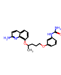 CC(CCCOc1cccc(NC(N)=O)c1)Oc1cccc2ccc(N)nc12